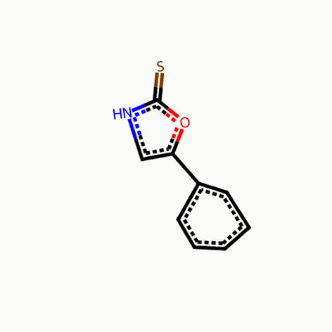 S=c1[nH]cc(-c2ccccc2)o1